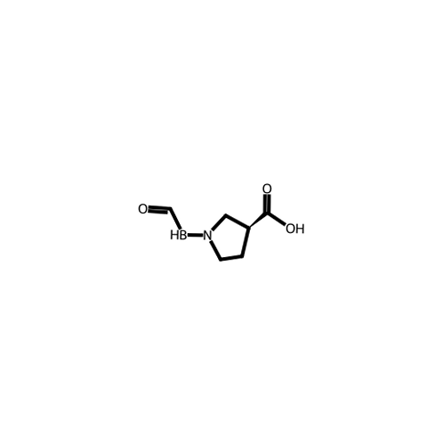 O=CBN1CC[C@H](C(=O)O)C1